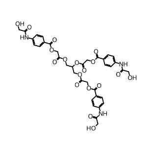 O=C(CO)Nc1ccc(C(=O)OCC(=O)OCC(COC(=O)COC(=O)c2ccc(NC(=O)CO)cc2)OC(=O)COC(=O)c2ccc(NC(=O)CO)cc2)cc1